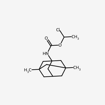 CC(Cl)OC(=O)NC12CC3CC(C)(CC(C)(C3)C1)C2